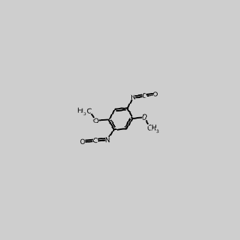 COc1cc(N=C=O)c(OC)cc1N=C=O